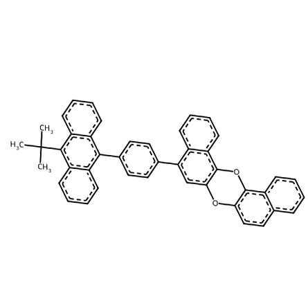 CC(C)(C)c1c2ccccc2c(-c2ccc(-c3cc4c(c5ccccc35)Oc3c(ccc5ccccc35)O4)cc2)c2ccccc12